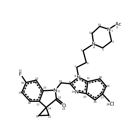 CC(=O)N1CCN(CCCn2c(CN3C(=O)C4(CC4)c4ccc(F)cc43)nc3cc(Cl)ccc32)CC1